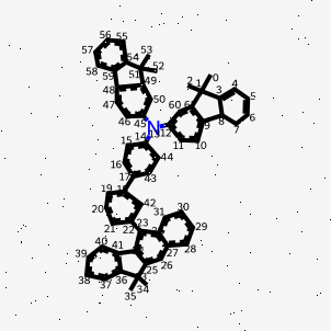 CC1(C)C2=CC=CCC2c2ccc(N(c3ccc(-c4cccc(-c5c6c(cc7ccccc57)C(C)(C)c5ccccc5-6)c4)cc3)c3ccc4c(c3)C(C)(C)c3ccccc3-4)cc21